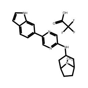 CN1C2CCC1CC(Nc1cnc(-c3ccc4cc[nH]c4c3)cn1)C2.O=C(O)C(F)(F)F